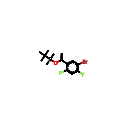 C=C(O[Si](C)(C)C(C)(C)C)c1cc(Br)c(F)cc1F